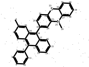 Cc1ccc2c(-c3ccccc3)c3ccccc3c(-c3ccc4c(c3)N(C)c3ccccc3S4)c2c1